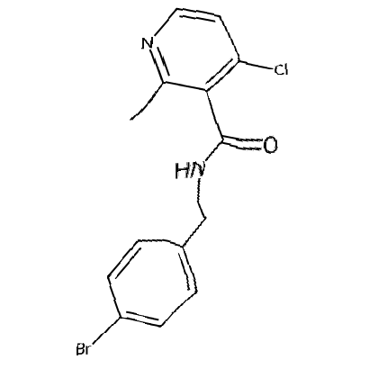 Cc1nccc(Cl)c1C(=O)NCc1ccc(Br)cc1